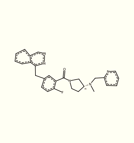 CN(Cc1ccccn1)[C@@H]1CCN(C(=O)c2cc(Cc3nncc4ccccc34)ccc2F)C1